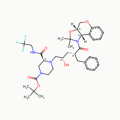 CC(C)(C)OC(=O)N1CCN(C[C@@H](O)C[C@@H](Cc2ccccc2)C(=O)N2[C@H]3c4ccccc4OC[C@H]3OC2(C)C)[C@H](C(=O)NCC(F)(F)F)C1